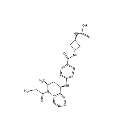 CCC(=O)N1c2ccccc2[C@H](Nc2ccc(C(=O)N[C@H]3C[C@H](NC(=O)O)C3)cc2)C[C@@H]1C